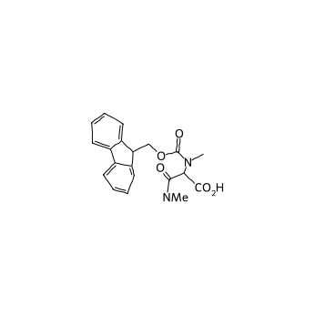 CNC(=O)C(C(=O)O)N(C)C(=O)OCC1c2ccccc2-c2ccccc21